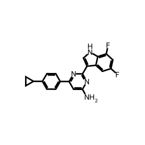 Nc1cc(-c2ccc(C3CC3)cc2)nc(-c2c[nH]c3c(F)cc(F)cc23)n1